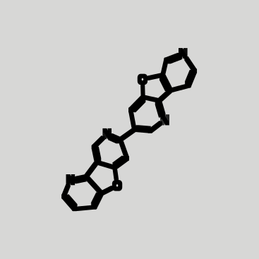 c1cnc2c(c1)oc1cc(-c3cnc4c(c3)oc3cnccc34)ncc12